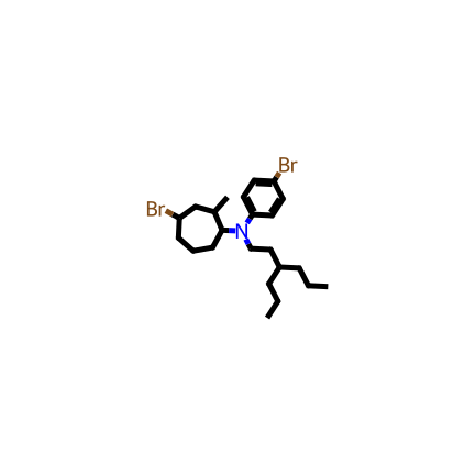 CCCC(CCC)CCN(c1ccc(Br)cc1)C1CCCC(Br)CC1C